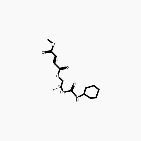 COC(=O)/C=C/C(=O)OC[C@@H](C)NC(=O)NC1CCCCC1